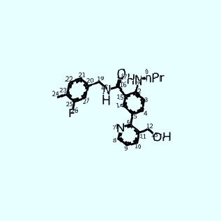 CCCNc1ccc(-c2ncccc2CO)cc1C(=O)NCc1ccc(C)c(F)c1